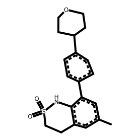 Cc1cc2c(c(-c3ccc(C4CCOCC4)cc3)c1)NS(=O)(=O)CC2